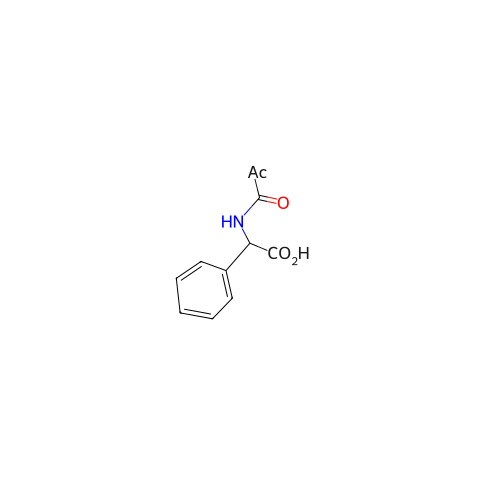 CC(=O)C(=O)NC(C(=O)O)c1ccccc1